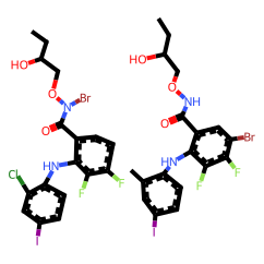 CCC(O)CON(Br)C(=O)c1ccc(F)c(F)c1Nc1ccc(I)cc1Cl.CCC(O)CONC(=O)c1cc(Br)c(F)c(F)c1Nc1ccc(I)cc1C